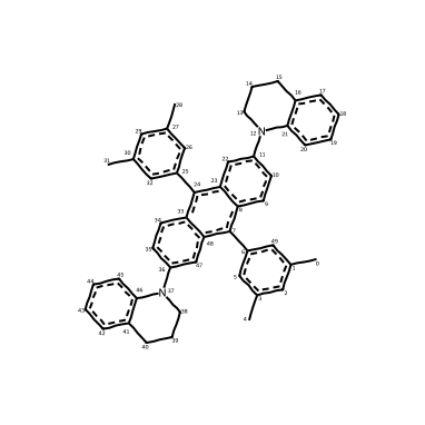 Cc1cc(C)cc(-c2c3ccc(N4CCCc5ccccc54)cc3c(-c3cc(C)cc(C)c3)c3ccc(N4CCCc5ccccc54)cc23)c1